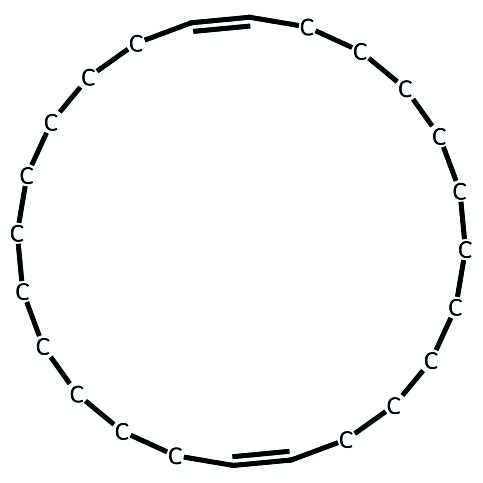 C1=CCCCCCCCCCCC=CCCCCCCCCCC1